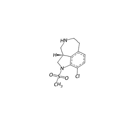 CS(=O)(=O)N1C[C@@H]2CNCCc3ccc(Cl)c1c32